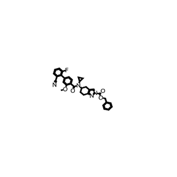 COc1cc(-c2c(F)cccc2C#N)ccc1C(=O)N(C1CC1)C1CCc2nn(C(=O)OCc3ccccc3)cc2C1